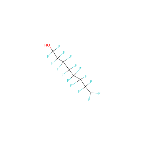 OC(F)(F)C(F)(F)C(F)(F)C(F)(F)C(F)(F)C(F)(F)C(F)(F)C(F)F